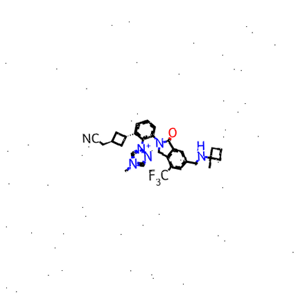 Cn1cn[n+](-c2c(N3Cc4c(cc(CNC5(C)CCC5)cc4C(F)(F)F)C3=O)cccc2[C@H]2C[C@H](CC#N)C2)c1